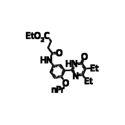 CCCOc1ccc(NC(=O)CCC(=O)OCC)cc1-c1nc(CC)c(CC)c(=O)[nH]1